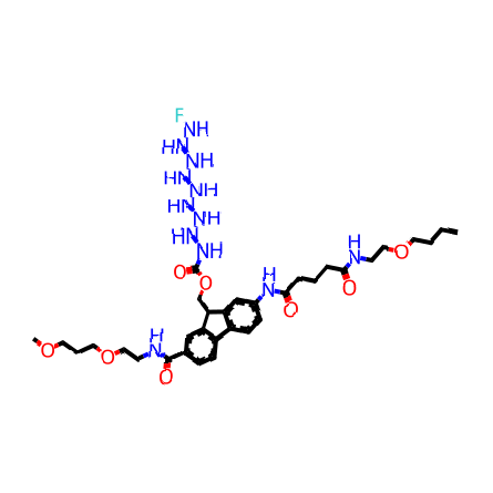 CCCCOCCNC(=O)CCCC(=O)Nc1ccc2c(c1)C(COC(=O)NNNNNNNNNF)c1cc(C(=O)NCCOCCCOC)ccc1-2